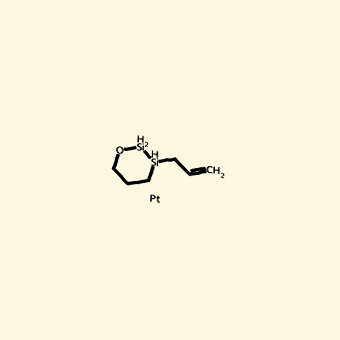 C=CC[SiH]1CCCO[SiH2]1.[Pt]